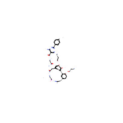 C[C@@H]1NC(=O)[C@@H](N(C)C(=O)CNC(=O)c2cnc(-c3ccc(C(C)(C)C)cc3)nc2N)c2cc(OCCCN)c(O)c(c2)-c2cc(ccc2OCCCN)C[C@@H](C(=O)O)NC1=O